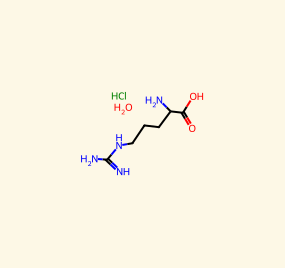 Cl.N=C(N)NCCCC(N)C(=O)O.O